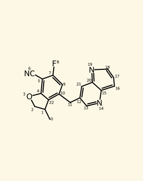 CC1COc2c(C#N)c(F)cc(Cc3cnc4cccnc4c3)c21